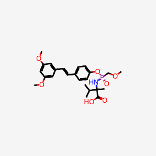 COCP(=O)(NC(C)(C(=O)O)C(C)C)Oc1ccc(/C=C/c2cc(OC)cc(OC)c2)cc1